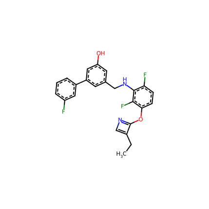 CCC1=CN=C1Oc1ccc(F)c(NCc2cc(O)cc(-c3cccc(F)c3)c2)c1F